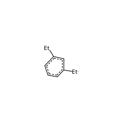 C[CH]c1cccc(CC)c1